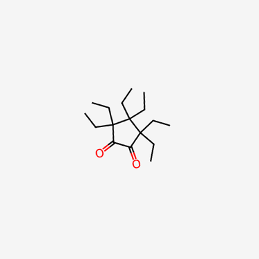 CCC1(CC)C(=O)C(=O)C(CC)(CC)C1(CC)CC